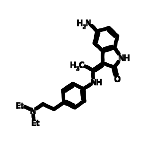 CCN(CC)CCc1ccc(N/C(C)=C2\C(=O)Nc3ccc(N)cc32)cc1